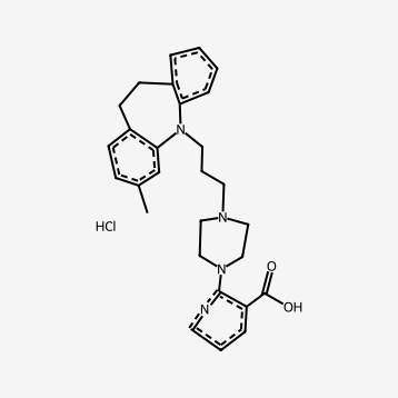 Cc1ccc2c(c1)N(CCCN1CCN(c3ncccc3C(=O)O)CC1)c1ccccc1CC2.Cl